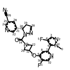 Cn1ncc(F)c1-c1cc(OC2CN(C(=O)N3N=CC[C@H]3c3cncc(C#N)c3)C2)c(F)cn1